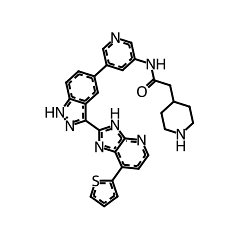 O=C(CC1CCNCC1)Nc1cncc(-c2ccc3[nH]nc(-c4nc5c(-c6cccs6)ccnc5[nH]4)c3c2)c1